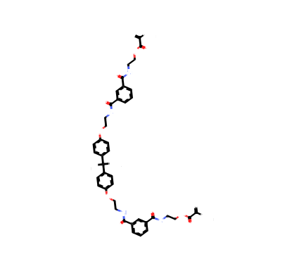 C=C(C)C(=O)OCCNC(=O)c1cccc(C(=O)NCCOc2ccc(C(C)(C)c3ccc(OCCNC(=O)c4cccc(C(=O)NCCOC(=O)C(=C)C)c4)cc3)cc2)c1